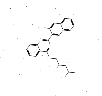 CC(C)CC(N)CNc1nc(-c2cc3ccccc3cc2O)nc2ccccc12